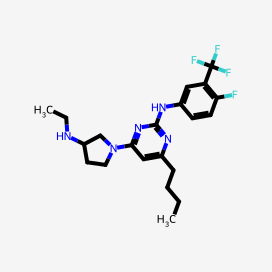 CCCCc1cc(N2CCC(NCC)C2)nc(Nc2ccc(F)c(C(F)(F)F)c2)n1